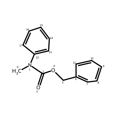 CN(C(=O)OCc1ccccc1)c1ccccc1